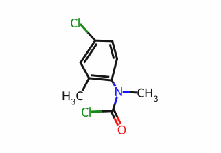 Cc1cc(Cl)ccc1N(C)C(=O)Cl